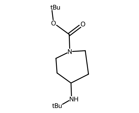 CC(C)(C)NC1CCN(C(=O)OC(C)(C)C)CC1